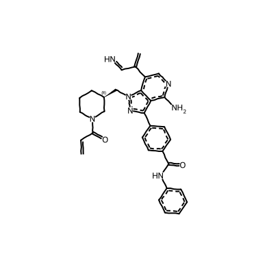 C=CC(=O)N1CCC[C@@H](Cn2nc(-c3ccc(C(=O)Nc4ccccc4)cc3)c3c(N)ncc(C(=C)C=N)c32)C1